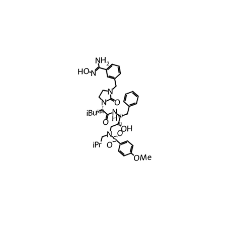 CC[C@H](C)[C@@H](C(=O)N[C@@H](Cc1ccccc1)[C@@H](O)CN(CC(C)C)S(=O)(=O)c1ccc(OC)cc1)N1CCN(Cc2cccc(C(N)=NO)c2)C1=O